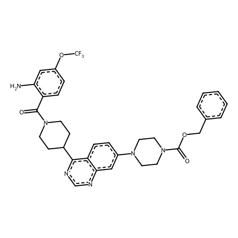 Nc1cc(OC(F)(F)F)ccc1C(=O)N1CCC(c2ncnc3cc(N4CCN(C(=O)OCc5ccccc5)CC4)ccc23)CC1